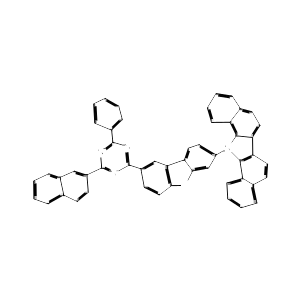 c1ccc(-c2nc(-c3ccc4ccccc4c3)nc(-c3ccc4sc5cc(-n6c7c8ccccc8ccc7c7ccc8ccccc8c76)ccc5c4c3)n2)cc1